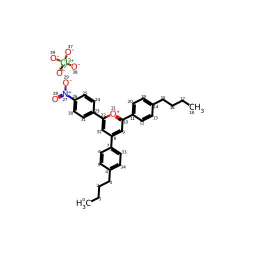 CCCCc1ccc(-c2cc(-c3ccc(CCCC)cc3)[o+]c(-c3ccc([N+](=O)[O-])cc3)c2)cc1.[O-][Cl+3]([O-])([O-])[O-]